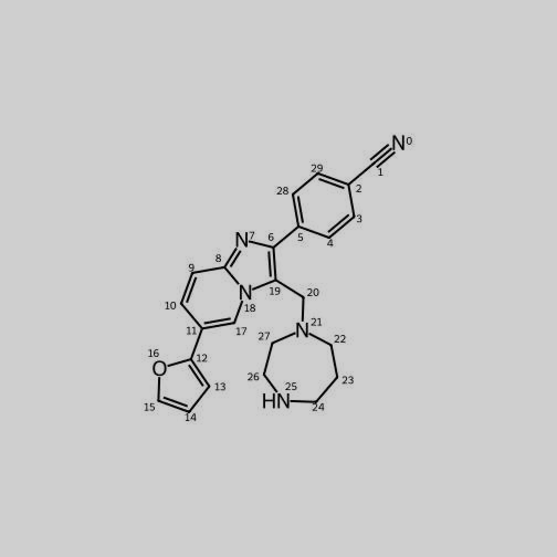 N#Cc1ccc(-c2nc3ccc(-c4ccco4)cn3c2CN2CCCNCC2)cc1